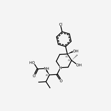 CC(C)[C@@H](NC(=O)O)C(=O)N1CC[C@](O)(c2ccc(Cl)cc2)[C@@](C)(O)C1